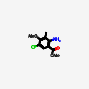 COC(=O)c1cc(Cl)c(OC)c(C)c1N